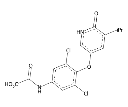 CC(C)c1cc(Oc2c(Cl)cc(NC(=O)C(=O)O)cc2Cl)c[nH]c1=O